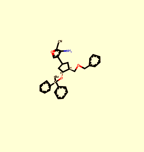 CC(C)(C)[Si](O[C@@H]1CC(c2coc(C#N)c2N)C[C@H]1COCc1ccccc1)(c1ccccc1)c1ccccc1